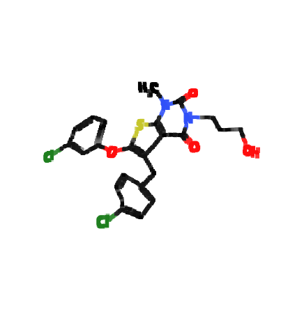 Cn1c(=O)n(CCCO)c(=O)c2c(Cc3ccc(Cl)cc3)c(Oc3cccc(Cl)c3)sc21